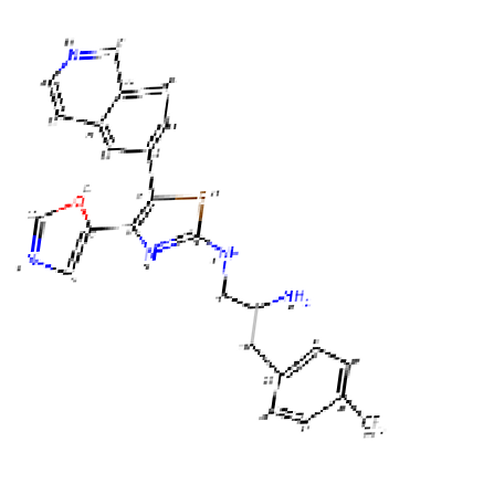 NC(CNc1nc(-c2cnco2)c(-c2ccc3cnccc3c2)s1)Cc1ccc(C(F)(F)F)cc1